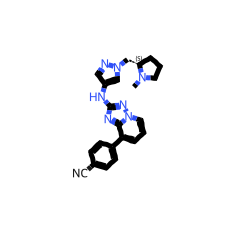 CN1CCC[C@H]1Cn1cc(Nc2nc3c(-c4ccc(C#N)cc4)cccn3n2)cn1